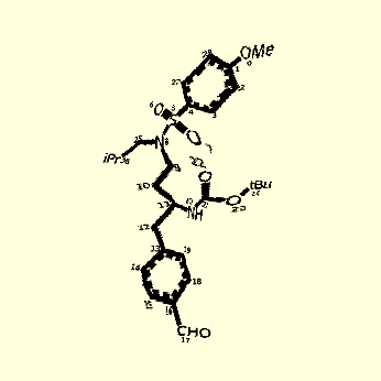 COc1ccc(S(=O)(=O)N(CCC(Cc2ccc(C=O)cc2)NC(=O)OC(C)(C)C)CC(C)C)cc1